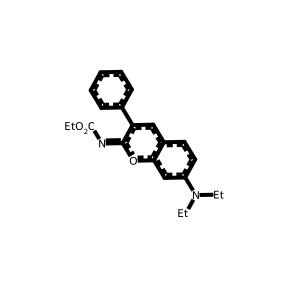 CCOC(=O)N=c1oc2cc(N(CC)CC)ccc2cc1-c1ccccc1